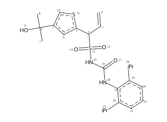 C=CC(c1cc(C(C)(C)O)cs1)S(=O)(=O)NC(=O)Nc1c(C(C)C)cccc1C(C)C